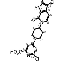 Cc1[nH]c2c(=O)n(C3CCN(c4cc(C(=O)O)nc(Cl)n4)CC3)ccc2c1Cl